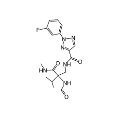 CNC(=O)C(CNC(=O)c1cnn(-c2cccc(F)c2)n1)(NC=O)C(C)C